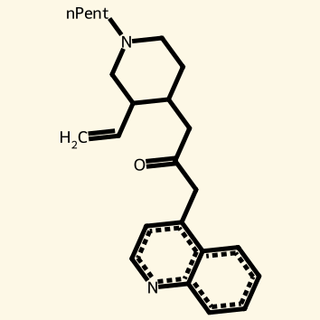 C=CC1CN(CCCCC)CCC1CC(=O)Cc1ccnc2ccccc12